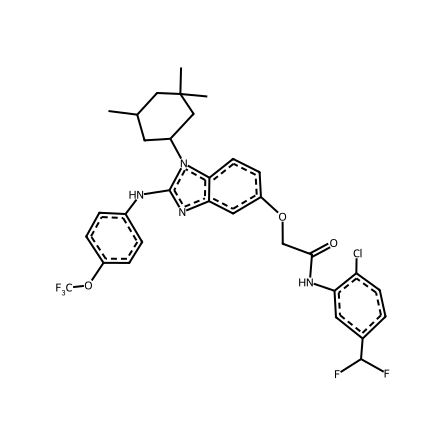 CC1CC(n2c(Nc3ccc(OC(F)(F)F)cc3)nc3cc(OCC(=O)Nc4cc(C(F)F)ccc4Cl)ccc32)CC(C)(C)C1